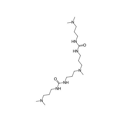 CN(C)CCCNC(=O)NCCCN(C)CCCNC(=O)NCCCN(C)C